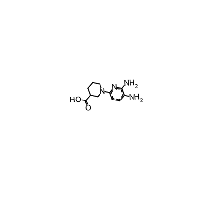 Nc1ccc(N2CCCC(C(=O)O)C2)nc1N